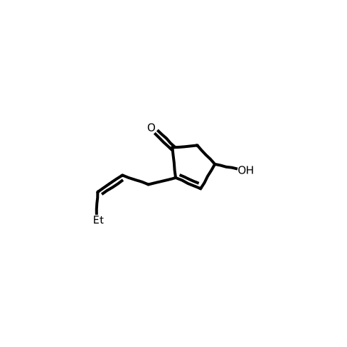 CC/C=C\CC1=CC(O)CC1=O